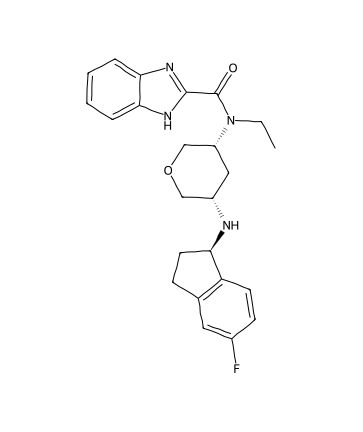 CCN(C(=O)c1nc2ccccc2[nH]1)[C@H]1COC[C@@H](N[C@@H]2CCc3cc(F)ccc32)C1